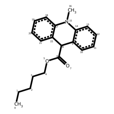 CCCCCOC(=O)C1c2ccccc2N(C)c2ccccc21